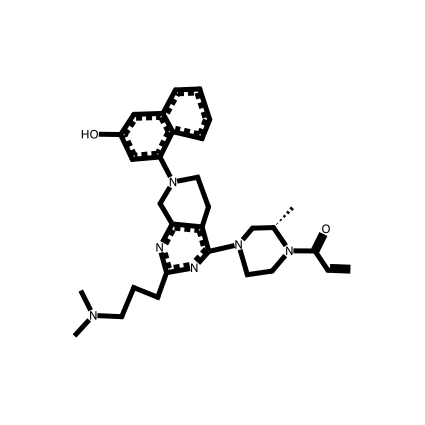 C=CC(=O)N1CCN(c2nc(CCCN(C)C)nc3c2CCN(c2cc(O)cc4ccccc24)C3)C[C@@H]1C